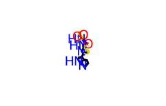 C[C@@H](NS(C)(=O)=O)C(=O)Nc1nc(-c2c[nH]c3ncccc23)cs1